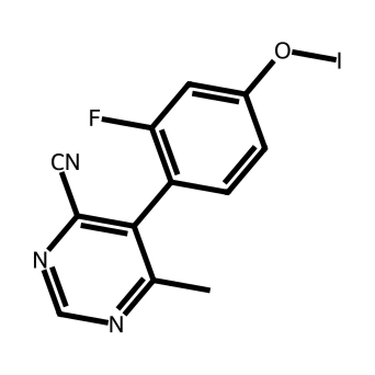 Cc1ncnc(C#N)c1-c1ccc(OI)cc1F